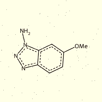 COc1ccc2nnn(N)c2c1